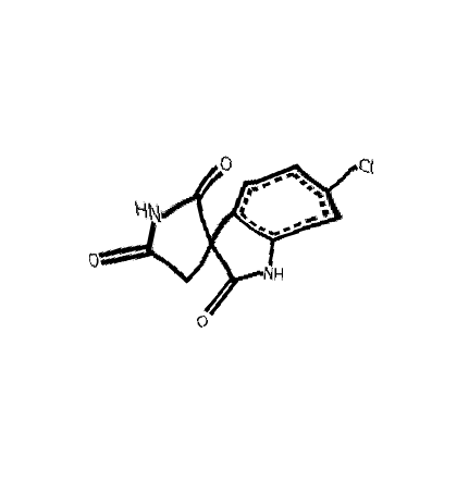 O=C1CC2(C(=O)N1)C(=O)Nc1cc(Cl)ccc12